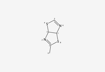 CC1=NC2SC=NC2S1